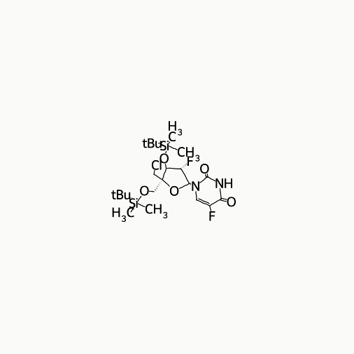 CC(C)(C)[Si](C)(C)OC[C@@]1(CCl)O[C@@H](n2cc(F)c(=O)[nH]c2=O)[C@@H](F)C1O[Si](C)(C)C(C)(C)C